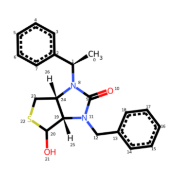 C[C@H](c1ccccc1)N1C(=O)N(Cc2ccccc2)[C@@H]2C(O)SC[C@@H]21